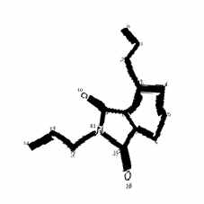 C=CCc1cccc2c1C(=O)N(CC=C)C2=O